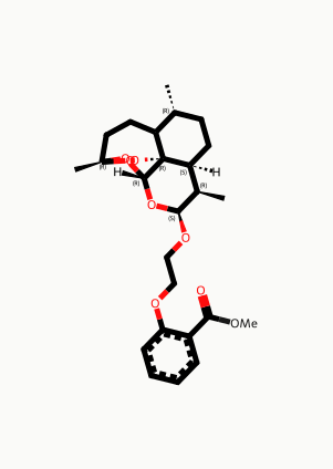 COC(=O)c1ccccc1OCCO[C@H]1O[C@@H]2O[C@@]3(C)CCC4[C@H](C)CC[C@@H]([C@H]1C)[C@]42OO3